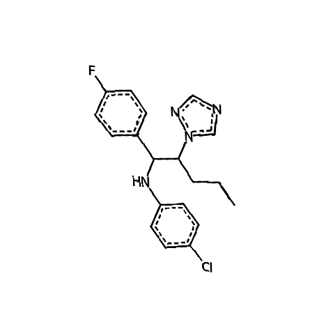 CCCC(C(Nc1ccc(Cl)cc1)c1ccc(F)cc1)n1cncn1